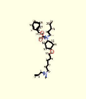 C=CCN(C)CCCCCCO[C@H]1CC[C@H](N(CCCCC)C(=O)OCc2ccccc2)CC1